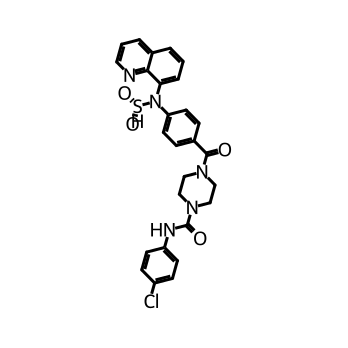 O=C(Nc1ccc(Cl)cc1)N1CCN(C(=O)c2ccc(N(c3cccc4cccnc34)[SH](=O)=O)cc2)CC1